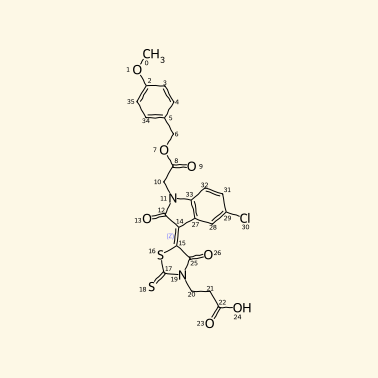 COc1ccc(COC(=O)CN2C(=O)/C(=C3\SC(=S)N(CCC(=O)O)C3=O)c3cc(Cl)ccc32)cc1